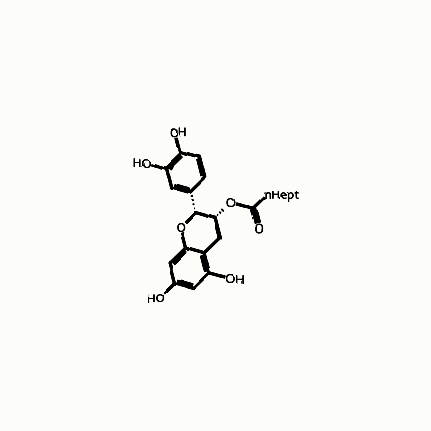 CCCCCCCC(=O)O[C@@H]1Cc2c(O)cc(O)cc2O[C@@H]1c1ccc(O)c(O)c1